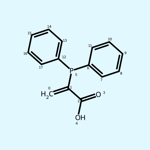 C=C(C(=O)O)P(c1ccccc1)c1ccccc1